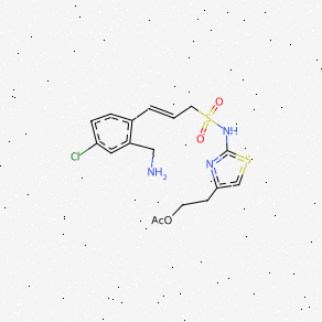 CC(=O)OCCc1csc(NS(=O)(=O)CC=Cc2ccc(Cl)cc2CN)n1